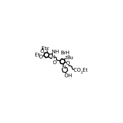 Br.CCOC(=O)CCCOc1c(N2CCC(O)CC2)cc(C(=O)CN2Cc3cc(OCC)c(OCC)c(F)c3C2=N)cc1C(C)(C)C